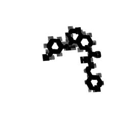 O=C(N/N=C/c1ccncc1)N1CCc2ncnc(Nc3cccc(Br)c3)c2C1